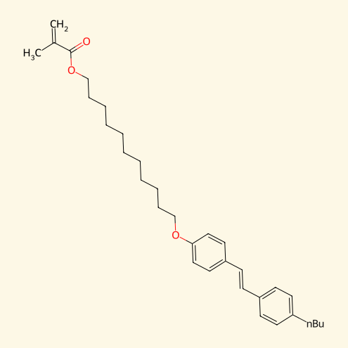 C=C(C)C(=O)OCCCCCCCCCCCOc1ccc(C=Cc2ccc(CCCC)cc2)cc1